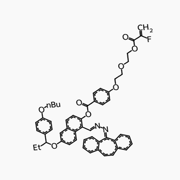 C=C(F)C(=O)OCCOCCOc1ccc(C(=O)Oc2ccc3cc(OC(CC)c4ccc(OCCCC)cc4)ccc3c2/C=N/N=c2c3ccccc3ccc3ccccc23)cc1